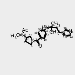 CC(=O)N(C)[C@H]1CCN(C(=O)c2ccc(NC(C)(C)CCn3cncn3)nc2)C1